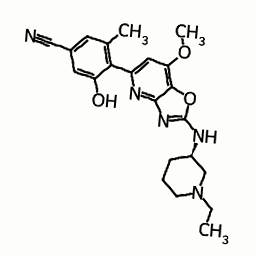 CCN1CCC[C@@H](Nc2nc3nc(-c4c(C)cc(C#N)cc4O)cc(OC)c3o2)C1